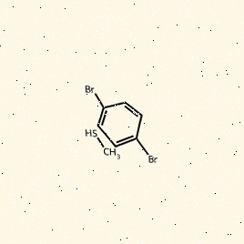 Brc1ccc(Br)cc1.CS